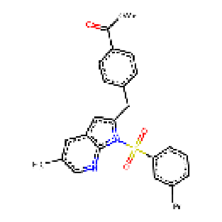 COC(=O)c1ccc(Cc2cc3cc(C(F)(F)F)cnc3n2S(=O)(=O)c2cccc(C(C)C)c2)cc1